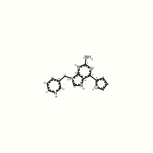 Nc1nc(-c2ccco2)c2ncn(Cc3cccnc3)c2n1